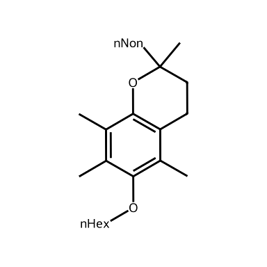 CCCCCCCCCC1(C)CCc2c(C)c(OCCCCCC)c(C)c(C)c2O1